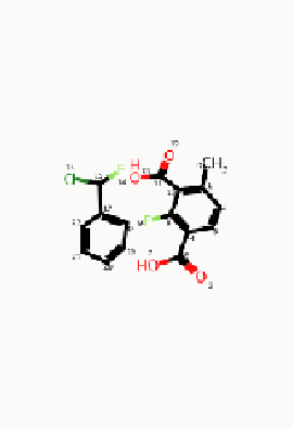 Cc1ccc(C(=O)O)c(F)c1C(=O)O.FC(Cl)c1ccccc1